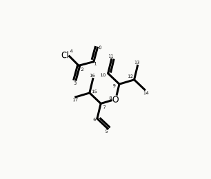 C=CC(=C)Cl.C=CC(OC(C=C)C(C)C)C(C)C